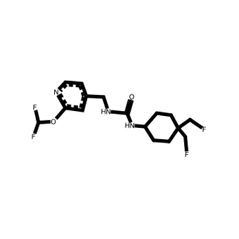 O=C(NCc1ccnc(OC(F)F)c1)NC1CCC(CF)(CF)CC1